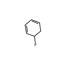 F[C]1C=CC=CC1